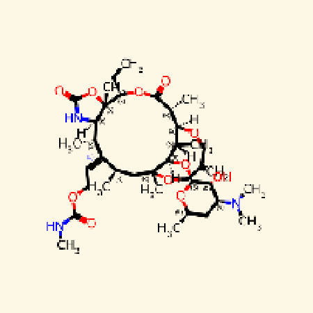 C=C1CO[C@H]2[C@H](C)[C@@H](O[C@@H]3O[C@H](C)C[C@H](N(C)C)[C@H]3O)[C@@](C)(C[C@@H](C)/C(=C\COC(=O)NC)[C@H](C)[C@H]3NC(=O)O[C@]3(C)[C@@H](CC)OC(=O)[C@@H]2C)OC1